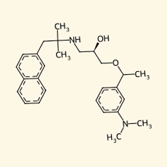 CC(OC[C@H](O)CNC(C)(C)Cc1ccc2ccccc2c1)c1cccc(N(C)C)c1